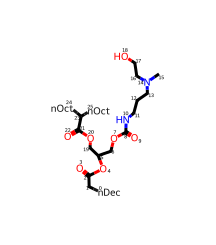 CCCCCCCCCCCC(=O)OC(COC(=O)NCCCN(C)CCO)COC(=O)C(CCCCCCCC)CCCCCCCC